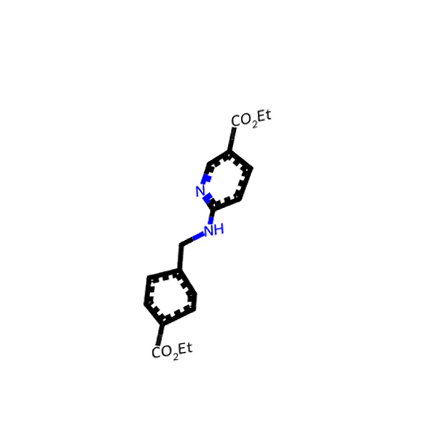 CCOC(=O)c1ccc(CNc2ccc(C(=O)OCC)cn2)cc1